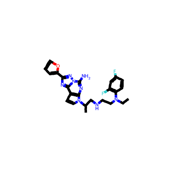 CCN(CCNCC(C)n1ccc2c1nc(N)n1nc(-c3ccco3)nc21)c1ccc(F)cc1F